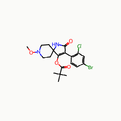 CON1CCC2(CC1)NC(=O)C(c1ccc(Br)cc1Cl)=C2OC(=O)C(C)(C)C